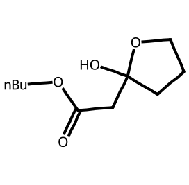 CCCCOC(=O)CC1(O)CCCO1